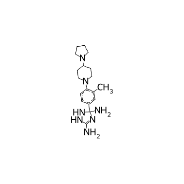 Cc1cc(C2(N)N=C(N)NN2)ccc1N1CCC(N2CCCC2)CC1